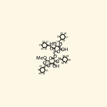 COC(=O)C1O[C@H](OCC2O[C@H](O)[C@H](OCc3ccccc3)C(O)[C@@H]2OCc2ccccc2)C(OCc2ccccc2)[C@@H](O)[C@@H]1OCc1ccccc1